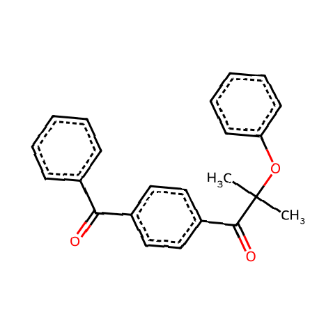 CC(C)(Oc1ccccc1)C(=O)c1ccc(C(=O)c2ccccc2)cc1